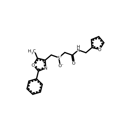 Cc1oc(-c2ccccc2)nc1C[S+]([O-])CC(=O)NCc1ccco1